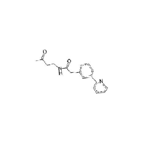 CC(=O)CCNC(=O)Cc1cccc(-c2ccccn2)c1